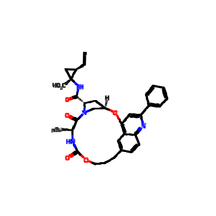 C=C[C@@H]1C[C@]1(NC(=O)[C@@H]1C[C@@H]2CN1C(=O)[C@H](CCCC)NC(=O)OCCCc1ccc3nc(-c4ccccc4)cc(c3c1)O2)C(=O)O